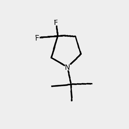 CC(C)(C)N1CCC(F)(F)C1